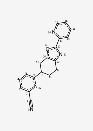 N#Cc1cccc(C2CCc3nc(-c4ccccn4)oc3C2)n1